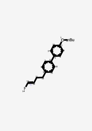 CCCCOc1ccc(-c2ccc(CC/C=C/F)cc2)cc1